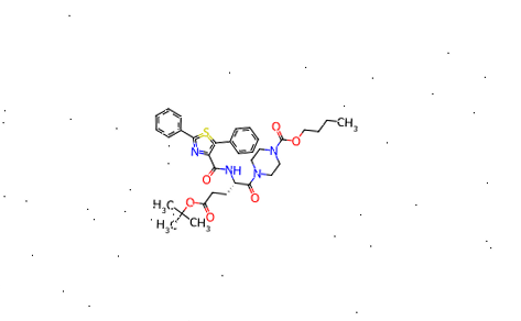 CCCCOC(=O)N1CCN(C(=O)[C@H](CCC(=O)OC(C)(C)C)NC(=O)c2nc(-c3ccccc3)sc2-c2ccccc2)CC1